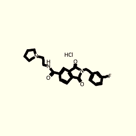 Cl.O=C(NCCN1CCCC1)c1ccc2c(c1)C(=O)N(Cc1cccc(F)c1)C2=O